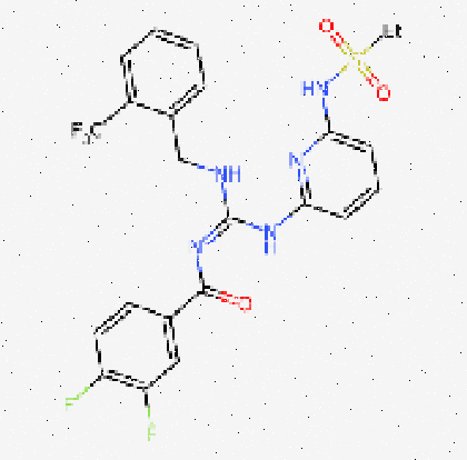 CCS(=O)(=O)Nc1cccc(N/C(=N\C(=O)c2ccc(F)c(F)c2)NCc2ccccc2C(F)(F)F)n1